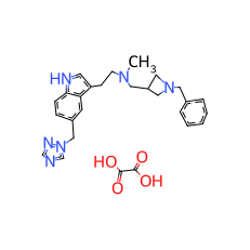 CN(CCc1c[nH]c2ccc(Cn3cncn3)cc12)CC1CN(Cc2ccccc2)C1.O=C(O)C(=O)O